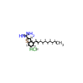 CCCCCCCCC=Cc1cccc2sc(C(=N)N)cc12.Cl